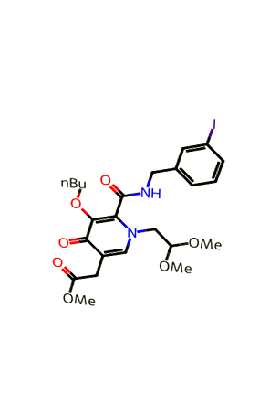 CCCCOc1c(C(=O)NCc2cccc(I)c2)n(CC(OC)OC)cc(CC(=O)OC)c1=O